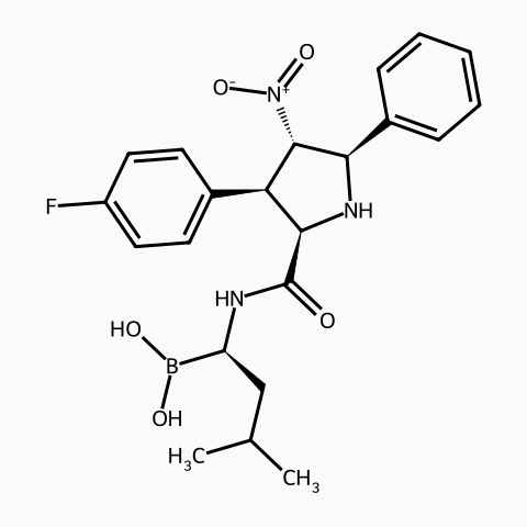 CC(C)C[C@H](NC(=O)[C@@H]1N[C@H](c2ccccc2)[C@@H]([N+](=O)[O-])[C@@H]1c1ccc(F)cc1)B(O)O